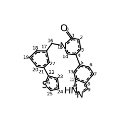 O=c1ccc(-c2ccc3cn[nH]c3c2)cn1Cc1cccc(-c2cccs2)c1